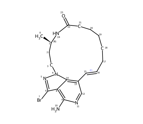 C[C@@H]1CCn2nc(Br)c3c(N)ncc(c32)/C=C/CCCCCC(=O)N1